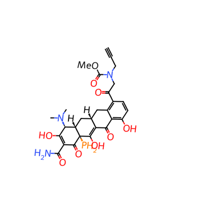 C#CCN(CC(=O)c1ccc(O)c2c1C[C@H]1C[C@H]3[C@H](N(C)C)C(O)=C(C(N)=O)C(=O)[C@@]3(P)C(O)=C1C2=O)C(=O)OC